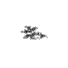 CC(C)(C)OC(=O)CC[C@@H](C(=O)OC(C)(C)C)N(C(=O)CC[C@H](NC(=O)CC[C@H](NC(=O)CC[C@H](NC(=O)CC[C@H](NC(=O)CC[C@H](N)C(=O)OC(C)(C)C)C(=O)OC(C)(C)C)C(=O)OC(C)(C)C)C(=O)OC(C)(C)C)C(=O)OC(C)(C)C)C(=O)c1ccc(N(CCCc2c(N)nc(N)[nH]c2=O)C(=O)C(F)(F)F)cc1